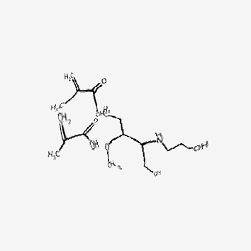 C=C(C)C(=O)O.C=C(C)C(=O)O.CCC(OC)C(CO)NCCO